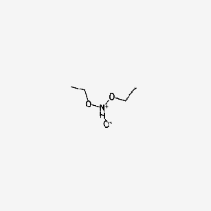 CCO[NH+]([O-])OCC